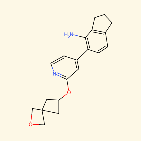 Nc1c(-c2ccnc(OC3CC4(COC4)C3)c2)ccc2c1CCC2